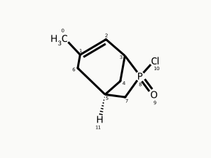 CC1=CC2C[C@H](C1)CP2(=O)Cl